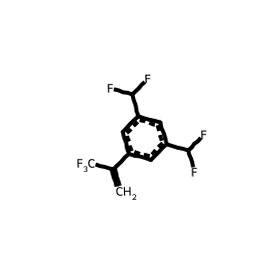 C=C(c1cc(C(F)F)cc(C(F)F)c1)C(F)(F)F